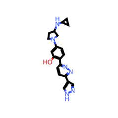 Oc1cc(N2CCC(NC3CC3)C2)ccc1-c1ccc(-c2cn[nH]c2)nn1